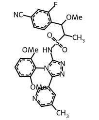 COc1cccc(OC)c1-n1c(NS(=O)(=O)C(C)C(OC)c2ccc(C#N)cc2F)nnc1-c1cncc(C)c1